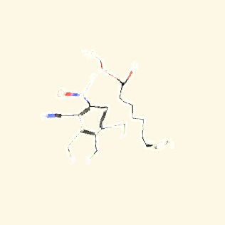 CCCCCCC(=O)OCC.N#Cc1c([N+](=O)[O-])cc(CF)c(CF)c1CF